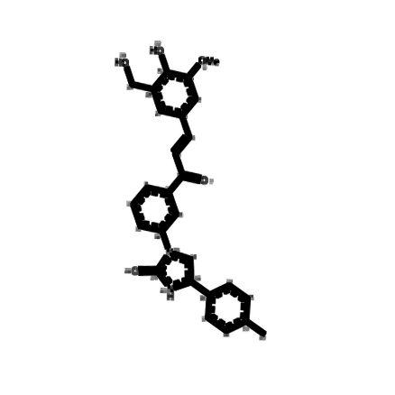 COc1cc(/C=C/C(=O)c2cccc(-n3cc(-c4ccc(C)cc4)[nH]c3=O)c2)cc(CO)c1O